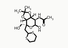 CC(=O)N[C@H]1C(O)O[C@@](CO)(CC2SCCCS2)[C@@H]2OC(C)(C)O[C@@H]21